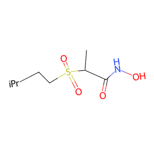 CC(C)CCS(=O)(=O)C(C)C(=O)NO